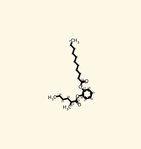 CCCCCCCCCCC(=O)Oc1ccccc1OC(=O)C(C)CCCC